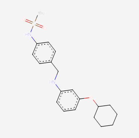 CC(C)(C)S(=O)(=O)Nc1ccc(CNc2cccc(OC3CCCCC3)c2)cc1